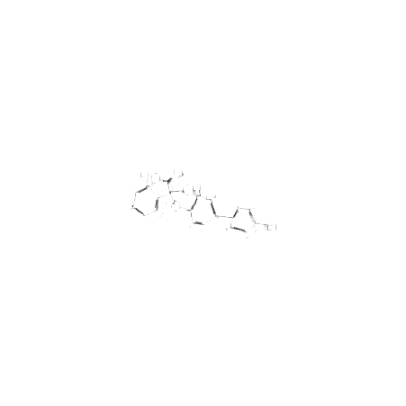 CC(Oc1ccc(-c2ccc(Br)cc2)cc1)(C(=O)O)c1ccccc1